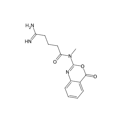 CN(C(=O)CCCC(=N)N)c1nc2ccccc2c(=O)o1